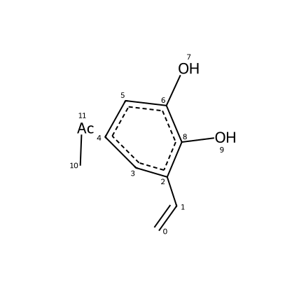 C=Cc1cccc(O)c1O.CC(C)=O